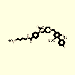 CCOc1cc(CN2CCC3(CC2)CN(c2ccc(C(=O)NCCCCS(=O)(=O)O)cc2)C(=O)O3)cc(OCC)c1-c1ccc(F)cc1